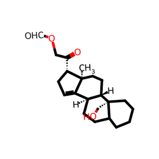 C[C@]12CC[C@H]3[C@@H](CCC4CCCC[C@@]43CO)C1=CC[C@@H]2C(=O)COC=O